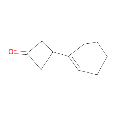 O=C1CC(C2=CCCCC2)C1